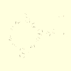 CNC(=O)C[C@@H]1NC(=O)c2csc(n2)-c2ccc(-c3nc(N(CCCC(=O)O)C(=O)C[C@H]4CC[C@H](C(=O)O)CC4)cs3)nc2-c2csc(n2)-c2csc(n2)[C@H]([C@@H](O)c2ccccc2)NC(=O)CNC(=O)c2nc(sc2COC)C(C(C)C)NC(=O)c2nc1sc2C